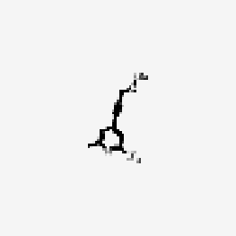 Cc1cc(C#CCOC(C)(C)C)cc(C(F)(F)F)n1